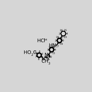 CN(c1ccc(C(=O)O)cc1)c1nc(-c2ccc(NCc3ccc(C4CCCCC4)cc3)cc2)cs1.Cl